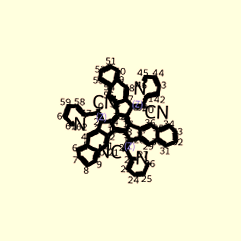 N#C/C(=C1/c2cc3ccccc3cc2-c2c1c1c(c3c2/C(=C(\C#N)c2ccccn2)c2cc4ccccc4cc2-3)/C(=C(\C#N)c2ccccn2)c2cc3ccccc3cc2-1)c1ccccn1